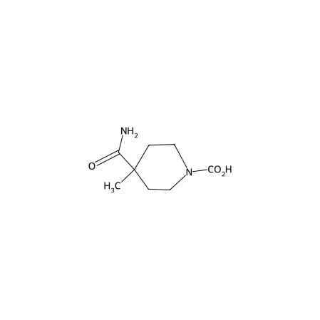 CC1(C(N)=O)CCN(C(=O)O)CC1